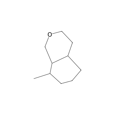 CC1CCCC2CCOCC12